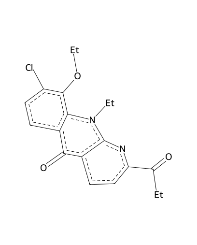 CCOc1c(Cl)ccc2c(=O)c3ccc(C(=O)CC)nc3n(CC)c12